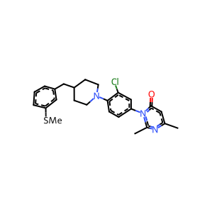 CSc1cccc(CC2CCN(c3ccc(-n4c(C)nc(C)cc4=O)cc3Cl)CC2)c1